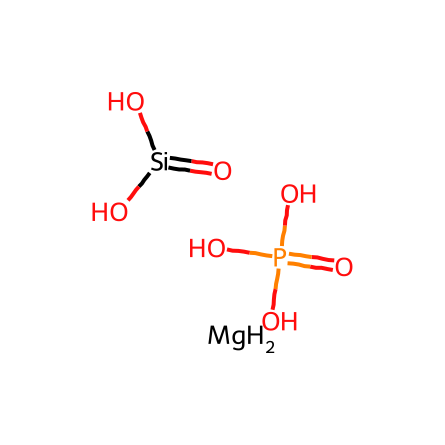 O=P(O)(O)O.O=[Si](O)O.[MgH2]